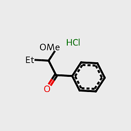 CCC(OC)C(=O)c1ccccc1.Cl